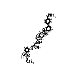 CCNS(=O)(=O)c1cccc(OC[C@@H](O)CNC2COC3(CCN(S(=O)(=O)c4cccc(-c5ccc(CN)cc5)c4)CC3)C2)c1